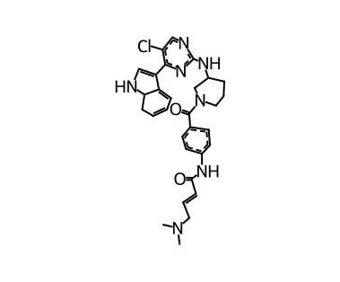 CN(C)C/C=C/C(=O)Nc1ccc(C(=O)N2CCCC(Nc3ncc(Cl)c(C4=CNC5CC=CC=C45)n3)C2)cc1